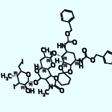 CC1C[C@@H]2OC(O[C@H]3OC(CI)[C@@H](C)C(I)[C@@H]3O)C3C(OC(=O)N3C)C2O[C@@H]1O[C@@H]1C(NC(=O)OCc2ccccc2)C[C@@H](NC(=O)OCc2ccccc2)C2OC3(CCCCC3)O[C@H]21